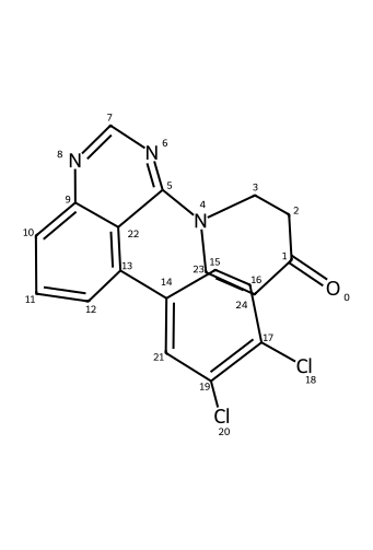 O=C1CCN(c2ncnc3cccc(-c4ccc(Cl)c(Cl)c4)c23)CC1